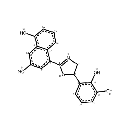 Oc1cc(C2=NCC(c3cccc(O)c3O)O2)c2cccc(O)c2c1